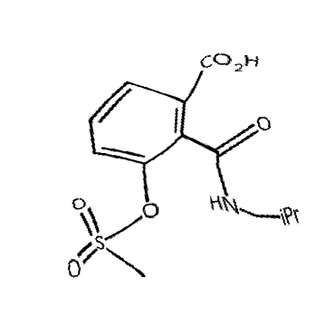 CC(C)NC(=O)c1c(OS(C)(=O)=O)cccc1C(=O)O